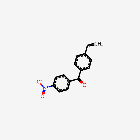 C=Cc1ccc(C(=O)c2ccc([N+](=O)[O-])cc2)cc1